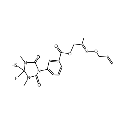 C=CCON=C(C)COC(=O)c1cccc(N2C(=O)N(C)C(F)(S)N(C)C2=O)c1